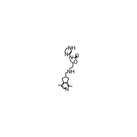 Cc1cnc(C)c2c1CC(CNCCC1CN(C3=CNCC=N3)C(=O)O1)C2